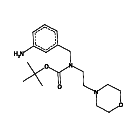 CC(C)(C)OC(=O)N(CCN1CCOCC1)Cc1cccc(N)c1